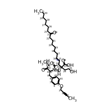 CC#CCOc1ccc(C[C@H](NC(=O)[C@@H](/C=C/CCCCCCC(=O)CCCCCCC)[C@@](O)(CCO)C(=O)O)C(=O)NC)cc1